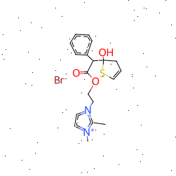 Cc1n(CCOC(=O)C(c2ccccc2)C2(O)CC=CS2)cc[n+]1C.[Br-]